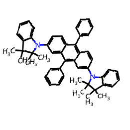 CC1(C)c2ccccc2N(c2ccc3c(-c4ccccc4)c4ccc(N5c6ccccc6C(C)(C)C5(C)C)cc4c(-c4ccccc4)c3c2)C1(C)C